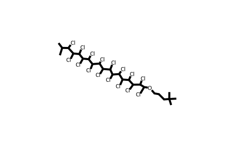 CC(C)C(Cl)C(Cl)C(Cl)C(Cl)C(Cl)C(Cl)C(Cl)C(Cl)C(Cl)C(Cl)C(Cl)C(Cl)C(Cl)C(Cl)C(Cl)C(Cl)OCCCC(C)(C)C